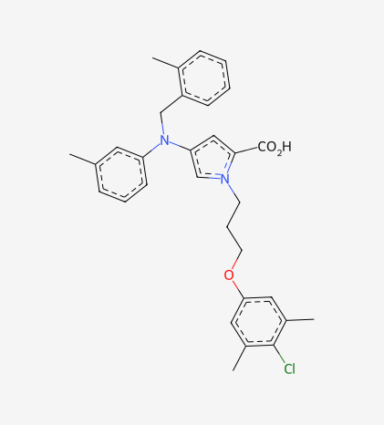 Cc1cccc(N(Cc2ccccc2C)c2cc(C(=O)O)n(CCCOc3cc(C)c(Cl)c(C)c3)c2)c1